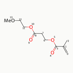 C=C(C)C(=O)OCCC(=O)OCCOC